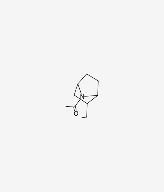 CCC1CC2CCC1N2C(C)=O